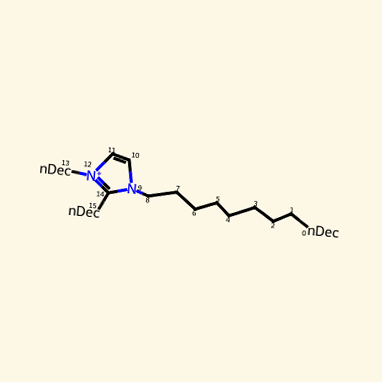 CCCCCCCCCCCCCCCCCCn1cc[n+](CCCCCCCCCC)c1CCCCCCCCCC